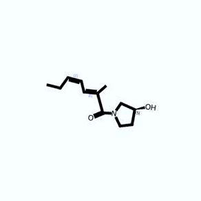 CC/C=C\C=C(/C)C(=O)N1CC[C@H](O)C1